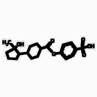 CC1(O)CCCC1C1CCC(C(=O)Oc2ccc(S(=O)(=O)O)cc2)CC1